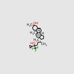 CC(CCC(O)(C1CC1)C(F)(F)F)[C@H]1CC[C@H]2[C@@H]3CC=C4C[C@@](C)(O)CC[C@]4(C)[C@H]3CC[C@]12C